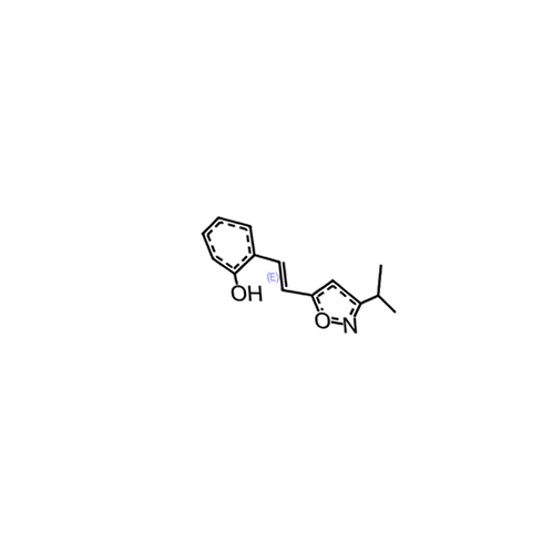 CC(C)c1cc(/C=C/c2ccccc2O)on1